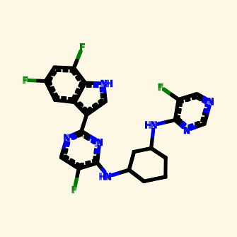 Fc1cc(F)c2[nH]cc(-c3ncc(F)c(NC4CCCC(Nc5ncncc5F)C4)n3)c2c1